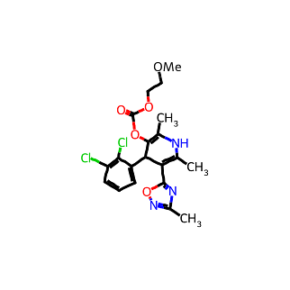 COCCOC(=O)OC1=C(C)NC(C)=C(c2nc(C)no2)C1c1cccc(Cl)c1Cl